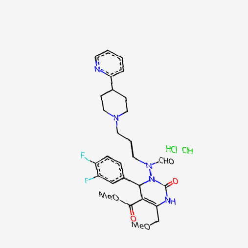 COCC1=C(C(=O)OC)C(c2ccc(F)c(F)c2)N(N(C=O)CCCN2CCC(c3ccccn3)CC2)C(=O)N1.Cl.Cl